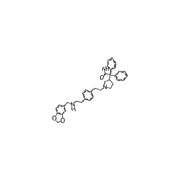 NC(=O)C(c1ccccc1)(c1ccccc1)C1CCN(CCc2ccc(CCNCc3ccc4c(c3)OCO4)cc2)C1